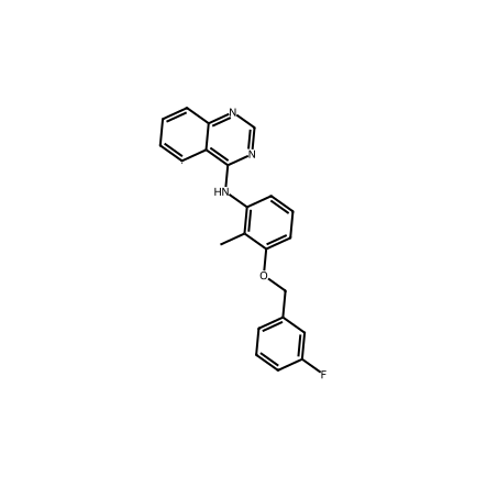 Cc1c(Nc2ncnc3ccc[c]c23)cccc1OCc1cccc(F)c1